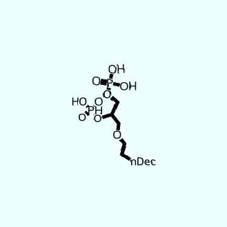 CCCCCCCCCCCCOCC(COP(=O)(O)O)OP(=O)(O)O